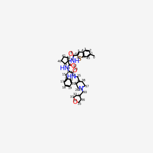 Cc1ccc2cc(C(=O)NC3(C(=O)N[C@H](Cc4ccccc4)C(=O)NCC4CCN(CC5CCOCC5)CC4)CCCC3)sc2c1